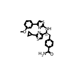 COc1cccc(-c2csc(N[C@@H](Cc3ccc(C(N)=O)cc3)c3csc(C4CC4)n3)n2)c1